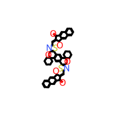 O=C1C(=Cc2nc3c(s2)-c2cc4c(cc2C2(CCCCC2)O3)-c2sc(C=C3C(=O)c5cc6ccccc6cc5C3=O)nc2OC42CCCCC2)C(=O)c2cc3ccccc3cc21